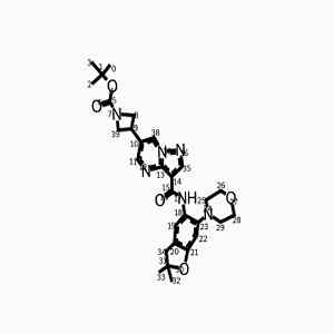 CC(C)(C)OC(=O)N1CC(c2cnc3c(C(=O)Nc4cc5c(cc4N4CCOCC4)OC(C)(C)C5)cnn3c2)C1